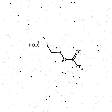 O=C(O)CCCOC(=O)C(F)(F)F